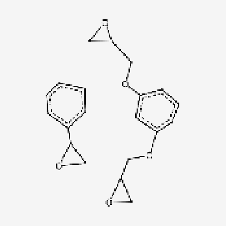 c1cc(OCC2CO2)cc(OCC2CO2)c1.c1ccc(C2CO2)cc1